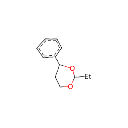 CCC1OCCC(c2ccccc2)O1